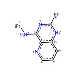 CCc1nc(NC(C)C)c2ncccc2n1